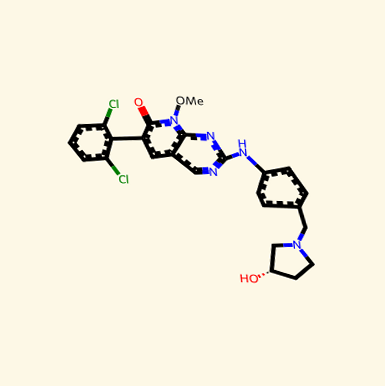 COn1c(=O)c(-c2c(Cl)cccc2Cl)cc2cnc(Nc3ccc(CN4CC[C@H](O)C4)cc3)nc21